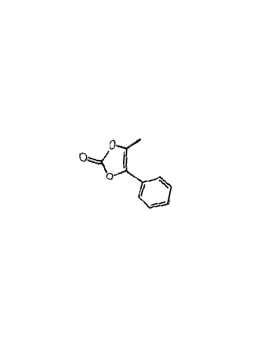 Cc1oc(=O)oc1-c1ccccc1